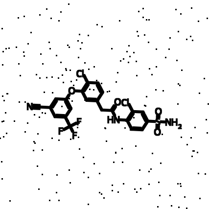 N#Cc1cc(Oc2cc(CC(=O)Nc3ccc(S(N)(=O)=O)cc3Cl)ccc2Cl)cc(C(F)(F)F)c1